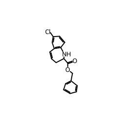 O=C(OCc1ccccc1)C1CC=Cc2cc(Cl)ccc2N1